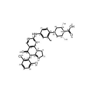 Cc1cc(Nc2ncc3c(n2)N2CCN=C2N(c2c(Cl)cccc2Cl)C3=O)ccc1N1C[C@@H](C)N(C(=O)O)[C@@H](C)C1